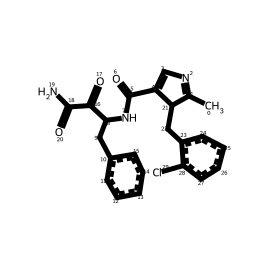 CC1=NC=C(C(=O)NC(Cc2ccccc2)C(=O)C(N)=O)C1Cc1ccccc1Cl